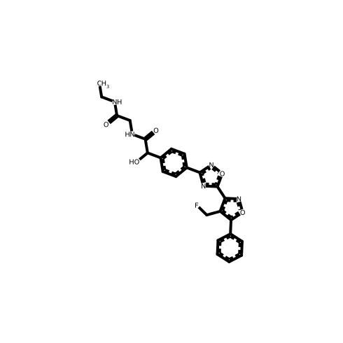 CCNC(=O)CNC(=O)C(O)c1ccc(-c2noc(-c3noc(-c4ccccc4)c3CF)n2)cc1